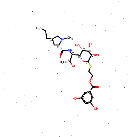 CCC[C@@H]1C[C@@H](C(=O)N[C@@H]([C@H]2O[C@H](SCCOC(=O)c3cc(O)cc(O)c3)[C@H](O)[C@@H](O)[C@H]2O)[C@@H](C)O)N(C)C1